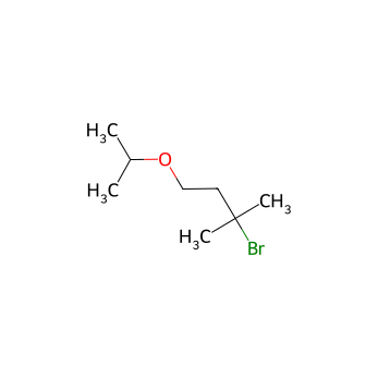 CC(C)OCCC(C)(C)Br